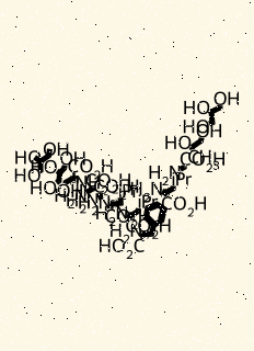 CC(C)C[C@H](N)C(=O)O.CC(C)C[C@H](N)C(=O)O.CC(C)C[C@H](N)C(=O)O.CC(O)CO.NCC(=O)O.NCC(=O)O.NCC(=O)O.N[C@@H](CO)C(=O)O.N[C@@H](Cc1ccccc1)C(=O)O.OCC(O)CO.OCC(O)CO.OCC(O)CO